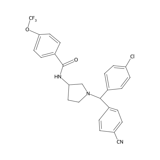 N#Cc1ccc(C(c2ccc(Cl)cc2)N2CCC(NC(=O)c3ccc(OC(F)(F)F)cc3)C2)cc1